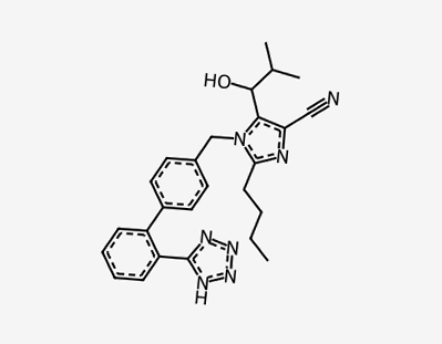 CCCCc1nc(C#N)c(C(O)C(C)C)n1Cc1ccc(-c2ccccc2-c2nnn[nH]2)cc1